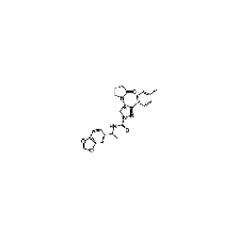 Cc1ccc(C2=NN(C(=O)NC(C)c3ccc4c(c3)OCO4)C[C@@H]2N2CCCC2=O)cc1